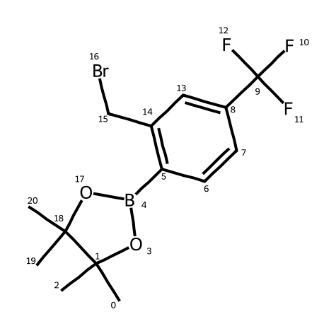 CC1(C)OB(c2ccc(C(F)(F)F)cc2CBr)OC1(C)C